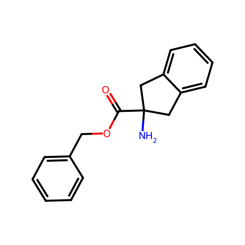 NC1(C(=O)OCc2ccccc2)Cc2ccccc2C1